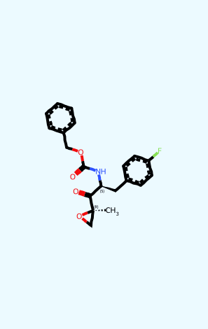 C[C@]1(C(=O)[C@H](Cc2ccc(F)cc2)NC(=O)OCc2ccccc2)CO1